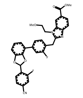 COCCn1c(Cc2ccc(-c3cccc4c3OC(c3ccc(C#N)cc3F)O4)cc2F)nc2ccc(C(=O)OC)cc21